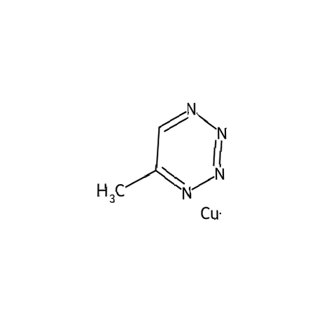 Cc1cnnnn1.[Cu]